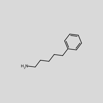 NCCCCCc1ccccc1